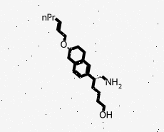 CCC/C=C/CO[C@@H]1CCc2cc([C@H](CN)CCCCO)ccc2C1